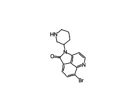 O=C1c2ccc(Br)c3nccc(c23)N1C1CCCNC1